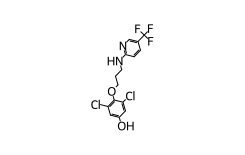 Oc1cc(Cl)c(OCCCNc2ccc(C(F)(F)F)cn2)c(Cl)c1